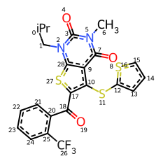 CC(C)Cn1c(=O)n(C)c(=O)c2c(Sc3cccs3)c(C(=O)c3ccccc3C(F)(F)F)sc21